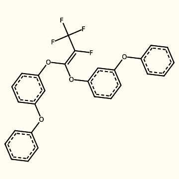 FC(=C(Oc1cccc(Oc2ccccc2)c1)Oc1cccc(Oc2ccccc2)c1)C(F)(F)F